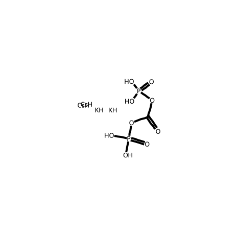 O=C(OP(=O)(O)O)OP(=O)(O)O.[CsH].[CsH].[KH].[KH]